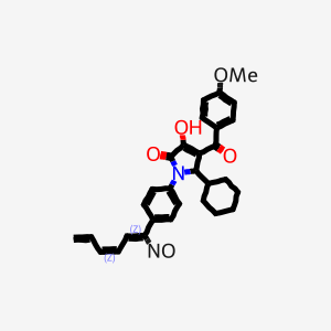 C=C/C=C\C=C(/N=O)c1ccc(N2C(=O)C(O)=C(C(=O)c3ccc(OC)cc3)C2C2CCCCC2)cc1